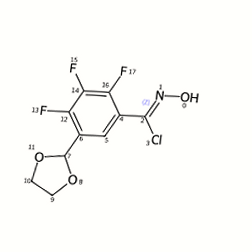 O/N=C(\Cl)c1cc(C2OCCO2)c(F)c(F)c1F